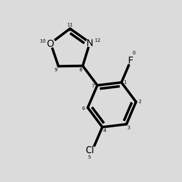 Fc1ccc(Cl)cc1C1CO[C]=N1